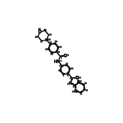 O=C(Nc1ccc(-c2nc3ncccc3o2)cc1)c1ccc(N2CCOCC2)cc1